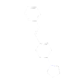 C(=Cc1ccc(N2CCCC2)cc1)c1ccccc1